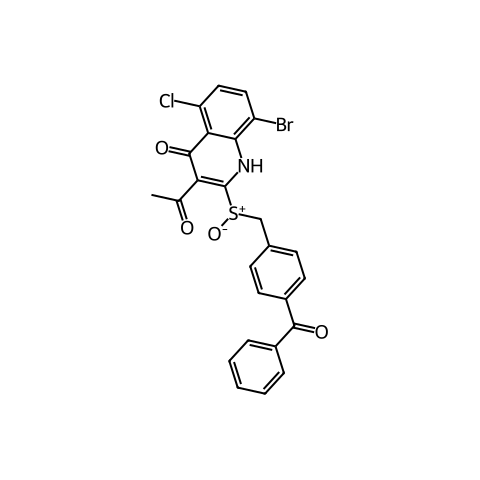 CC(=O)c1c([S+]([O-])Cc2ccc(C(=O)c3ccccc3)cc2)[nH]c2c(Br)ccc(Cl)c2c1=O